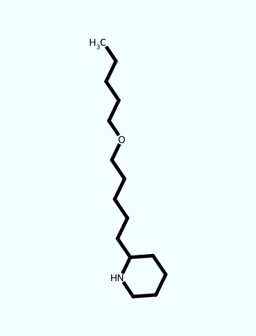 CCCCCOCCCCCC1CCCCN1